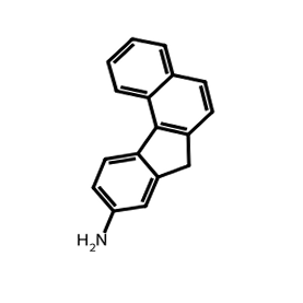 Nc1ccc2c(c1)Cc1ccc3ccccc3c1-2